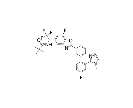 Cn1cnnc1-c1cc(F)ccc1-c1cccc(-c2nc3cc(C(N[S+]([O-])C(C)(C)C)C(F)(F)F)cc(F)c3o2)c1